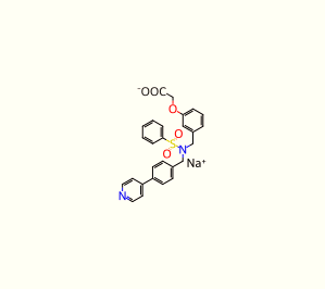 O=C([O-])COc1cccc(CN(Cc2ccc(-c3ccncc3)cc2)S(=O)(=O)c2ccccc2)c1.[Na+]